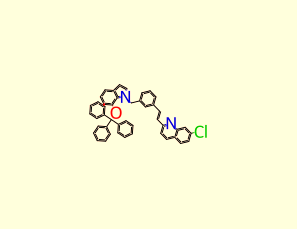 Clc1ccc2ccc(C=Cc3cccc(Cn4ccc5cccc(OC(c6ccccc6)(c6ccccc6)c6ccccc6)c54)c3)nc2c1